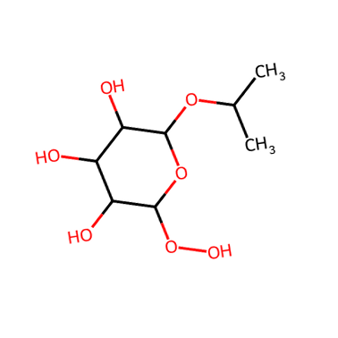 CC(C)OC1OC(OO)C(O)C(O)C1O